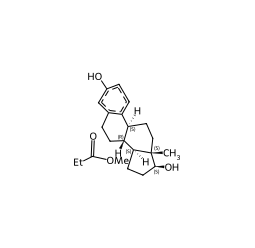 CCC(=O)OC.C[C@]12CC[C@@H]3c4ccc(O)cc4CC[C@H]3[C@@H]1CC[C@@H]2O